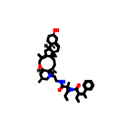 CC/C(C(=O)N1C(CC)C1(C)C(=O)NCCN1C[C@@H](C)C[C@H]2OC/C(C)=C3/C[C@H]4[C@]5(CC=C6C[C@@H](O)CC[C@@]64C)CC35CC[C@H](C)[C@@H]21)=C(\C)c1ccccc1